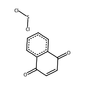 ClSCl.O=C1C=CC(=O)c2ccccc21